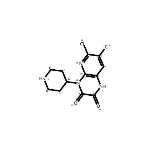 O=c1[nH]c2cc(Cl)c(Cl)nc2n(C2CCNCC2)c1=O